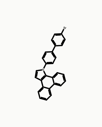 Brc1ccc(-c2ccc(-n3ccc4c5ccccc5c5ccccc5c43)cc2)cc1